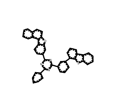 c1ccc(-c2nc(-c3cccc(-c4cccc5c4sc4ccccc45)c3)nc(-c3ccc4c(c3)oc3ccc5ccccc5c34)n2)cc1